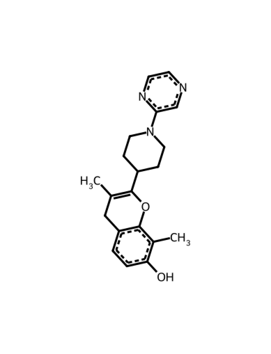 CC1=C(C2CCN(c3cnccn3)CC2)Oc2c(ccc(O)c2C)C1